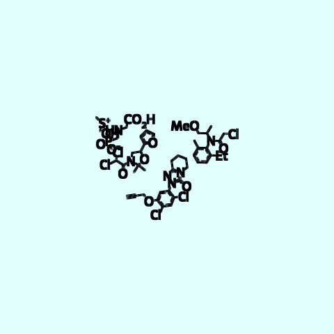 C#CCOc1cc(-n2nc3n(c2=O)CCCC3)c(Cl)cc1Cl.CC1(C)OC(c2ccco2)CN1C(=O)C(Cl)Cl.CCc1cccc(C)c1N(C(=O)CCl)C(C)COC.C[S+](C)C.O=C(O)CNCP(=O)([O-])O